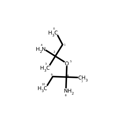 CCC(C)(N)OC(C)(N)CC